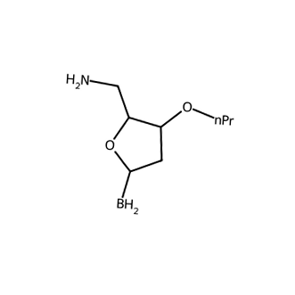 BC1CC(OCCC)C(CN)O1